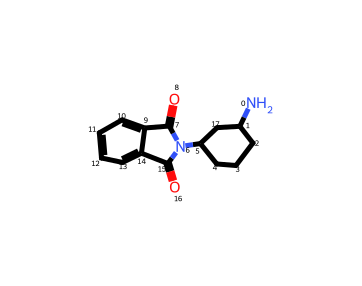 NC1CCCC(N2C(=O)c3ccccc3C2=O)C1